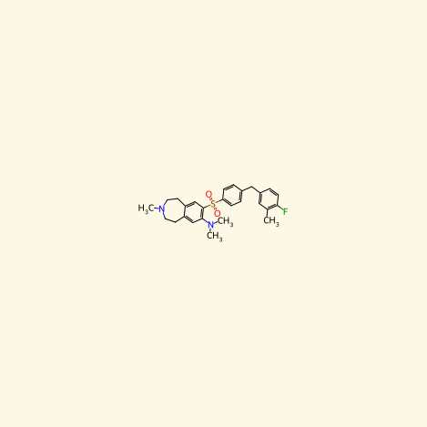 Cc1cc(Cc2ccc(S(=O)(=O)c3cc4c(cc3N(C)C)CCN(C)CC4)cc2)ccc1F